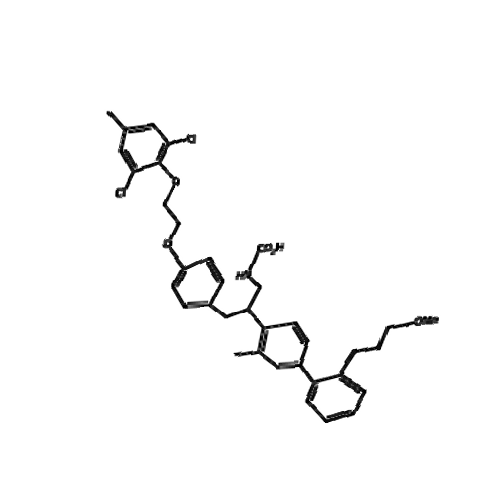 COCCCc1ccccc1-c1ccc(C(CNC(=O)O)Cc2ccc(OCCOc3c(Cl)cc(C)cc3Cl)cc2)c(C)c1